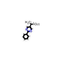 CCCCCCCCC(C)c1cnc(-c2c[c]ccc2)nc1